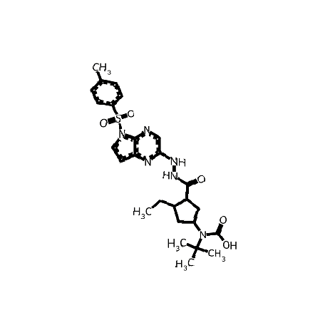 CCC1CC(N(C(=O)O)C(C)(C)C)CC1C(=O)NNc1cnc2c(ccn2S(=O)(=O)c2ccc(C)cc2)n1